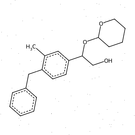 Cc1cc(C(CO)OC2CCCCO2)ccc1Cc1ccccc1